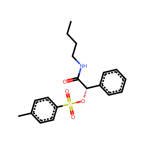 CCCCNC(=O)[C@@H](OS(=O)(=O)c1ccc(C)cc1)c1ccccc1